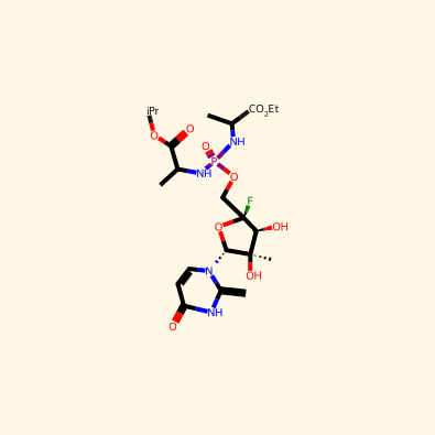 C=C1NC(=O)C=CN1[C@@H]1O[C@](F)(COP(=O)(NC(C)C(=O)OCC)NC(C)C(=O)OC(C)C)[C@@H](O)[C@@]1(C)O